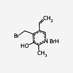 Br.C=Cc1cnc(C)c(O)c1CBr